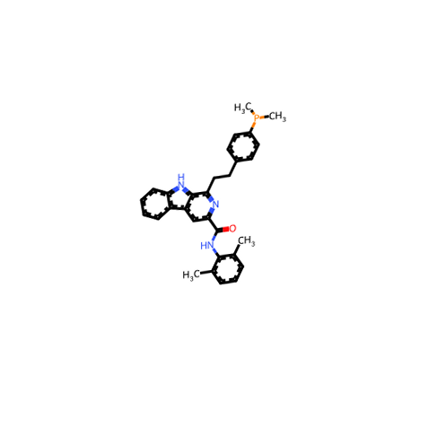 Cc1cccc(C)c1NC(=O)c1cc2c([nH]c3ccccc32)c(CCc2ccc(P(C)C)cc2)n1